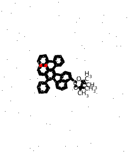 CC1(C)OB(c2ccc3c4c(cccc24)-c2c-3c(-c3ccccc3-c3ccccc3)c3ccccc3c2-c2ccccc2)OC1(C)C